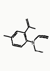 C=CN(CC)c1ccc(C)cc1C(=C)C